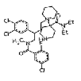 CCN(CC)C(=O)C1([N+]2(CCC(CN(C)C(=O)c3cc(Cl)ccc3F)c3ccc(Cl)c(Cl)c3)CCCCC2)CCNCC1